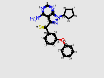 Nc1ncnc2c1c(C(=S)c1cccc(Oc3ccccc3)c1)nn2C1CCCC1